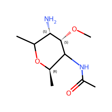 CO[C@@H]1C(NC(C)=O)[C@@H](C)OC(C)[C@@H]1N